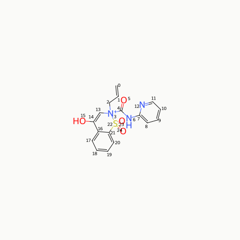 C=CC[N+]1(C(=O)Nc2ccccn2)C=C(O)c2ccccc2S1(=O)=O